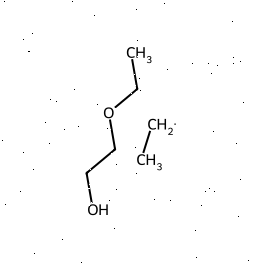 CCOCCO.[CH2]C